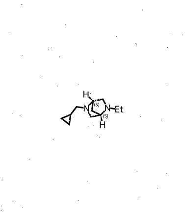 CCN1C[C@@H]2C[C@H]1CN2CC1CC1